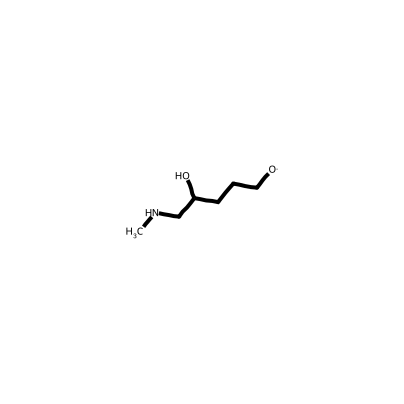 CNCC(O)CCC[O]